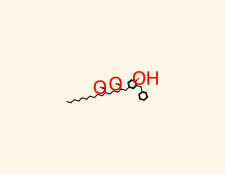 CCCCCCCCCCC(C=O)CCCC(C=O)Cc1ccc(O)c(Cc2ccccc2)c1